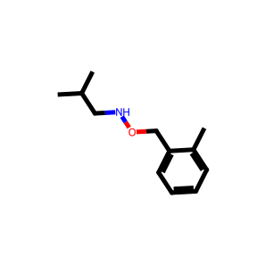 Cc1ccccc1CONCC(C)C